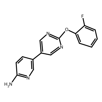 Nc1ccc(-c2cnc(Oc3ccccc3F)nc2)cn1